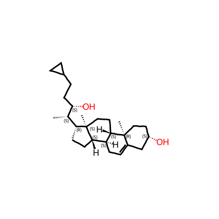 C[C@@H]([C@H]1CC[C@H]2[C@@H]3CC=C4C[C@@H](O)CC[C@]4(C)[C@H]3CC[C@]12C)[C@@H](O)CCC1CC1